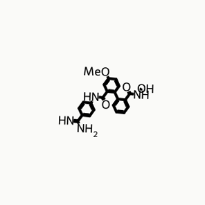 COc1ccc(-c2ccccc2C(=O)NO)c(C(=O)Nc2ccc(C(=N)N)cc2)c1